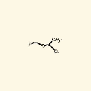 [CH2]C(CC)SCC(C)C